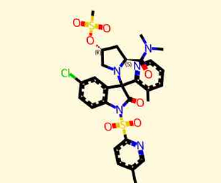 Cc1ccc(S(=O)(=O)N2C(=O)C(c3ncccc3C)(N3C[C@H](OS(C)(=O)=O)C[C@H]3C(=O)N(C)C)c3cc(Cl)ccc32)nc1